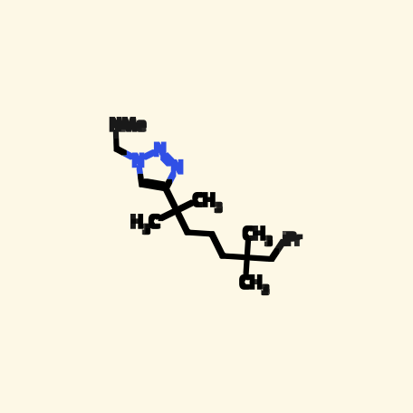 CNCn1cc(C(C)(C)CCCC(C)(C)CC(C)C)nn1